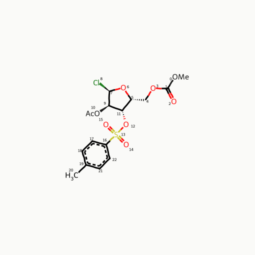 COC(=O)OC[C@H]1O[C@H](Cl)[C@H](OC(C)=O)[C@H]1OS(=O)(=O)c1ccc(C)cc1